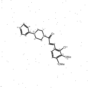 COc1ccc(/C=C/C(=O)N2CCN(c3ccncc3)CC2)c(Cl)c1OC